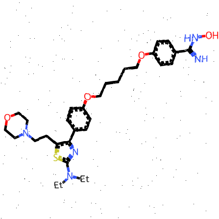 CCN(CC)c1nc(-c2ccc(OCCCCCOc3ccc(C(=N)NO)cc3)cc2)c(CCN2CCOCC2)s1